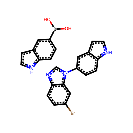 Brc1ccc2ncn(-c3ccc4[nH]ccc4c3)c2c1.OB(O)c1ccc2[nH]ccc2c1